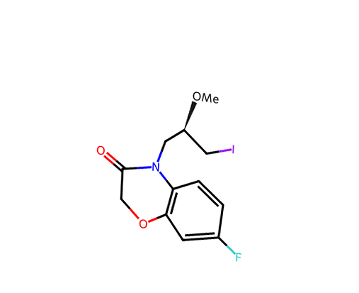 CO[C@@H](CI)CN1C(=O)COc2cc(F)ccc21